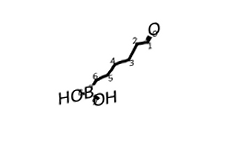 O=CCCCCCB(O)O